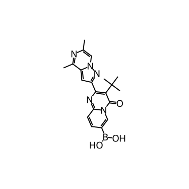 Cc1cn2nc(-c3nc4ccc(B(O)O)cn4c(=O)c3C(C)(C)C)cc2c(C)n1